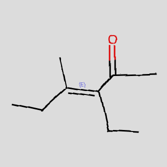 CC/C(C)=C(\CC)C(C)=O